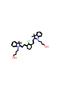 CC1(C)C(/C=C/C2=C(Cl)C(=C/C=C3/N(CCCCO)c4ccccc4C3(C)C)/CCC2)=[N+](CCCCO)c2ccccc21